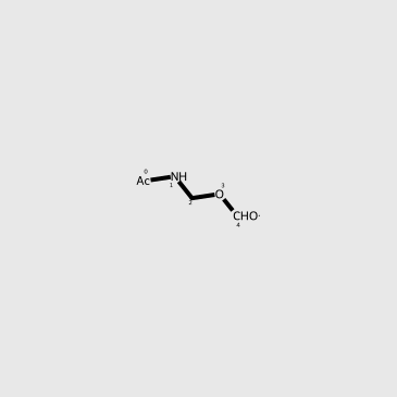 CC(=O)NCO[C]=O